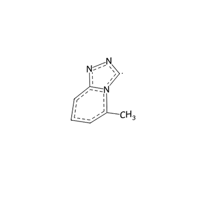 Cc1cccc2nn[c]n12